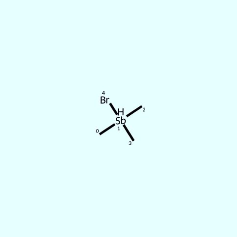 [CH3][SbH]([CH3])([CH3])[Br]